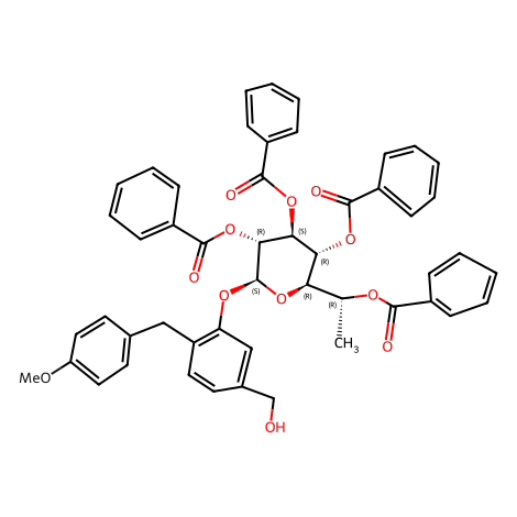 COc1ccc(Cc2ccc(CO)cc2O[C@@H]2O[C@H]([C@@H](C)OC(=O)c3ccccc3)[C@@H](OC(=O)c3ccccc3)[C@H](OC(=O)c3ccccc3)[C@H]2OC(=O)c2ccccc2)cc1